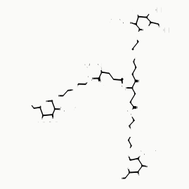 CNC(CCC(=O)NC(CCC(=O)NCCOCCOC1OC(CO)C(O)C(O)C1NC(C)=O)C(=O)CCCOCCOC1OC(CO)C(O)C(O)C1NC(C)=O)C(=O)NCCOCCOC1OC(CO)C(O)C(O)C1NC(C)=O